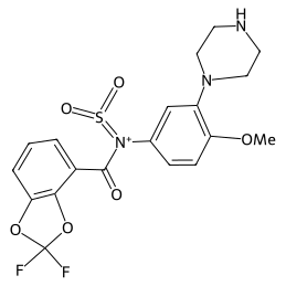 COc1ccc([N+](C(=O)c2cccc3c2OC(F)(F)O3)=S(=O)=O)cc1N1CCNCC1